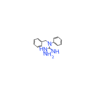 N=C(NN)N(Cc1ccccc1)c1ccccc1